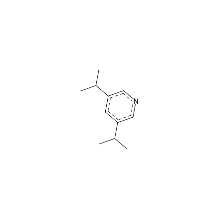 CC(C)c1cncc(C(C)C)c1